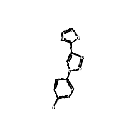 Clc1ccc(-n2cc(-c3ccco3)nn2)cc1